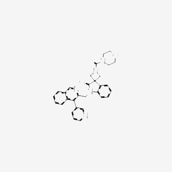 O=C(N1CCOCC1)N1CC2(C1)C(=O)N(Cc1ncc3ccccc3c1-c1cccnc1)c1ccccc12